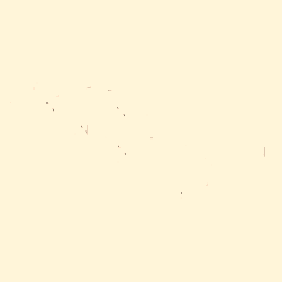 FCOc1cccc(-c2cn3ccc(N4CCC4)nc3n2)c1